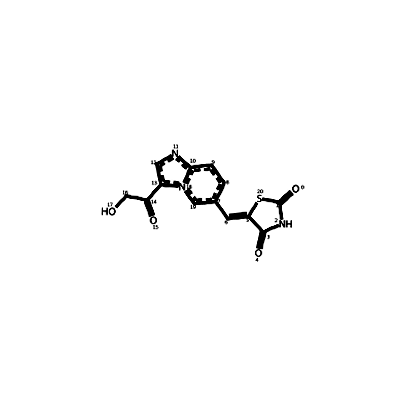 O=C1NC(=O)/C(=C/c2ccc3ncc(C(=O)CO)n3c2)S1